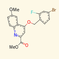 COC(=O)c1cc(OCc2ccc(Br)cc2F)c2cc(OC)ccc2n1